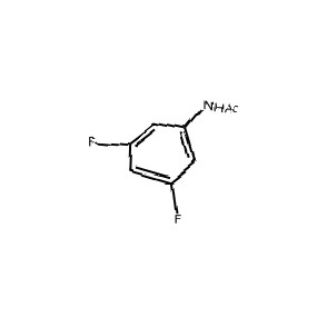 CC(=O)Nc1cc(F)cc(F)c1